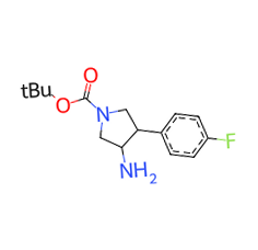 CC(C)(C)OC(=O)N1CC(N)C(c2ccc(F)cc2)C1